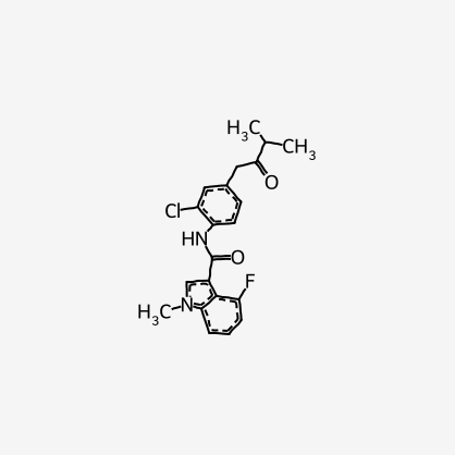 CC(C)C(=O)Cc1ccc(NC(=O)c2cn(C)c3cccc(F)c23)c(Cl)c1